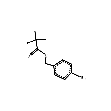 CCC(C)(C)C(=O)OCc1ccc(N)cc1